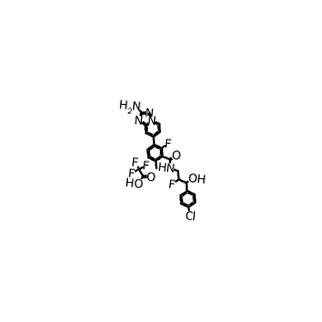 Cc1ccc(-c2ccn3nc(N)nc3c2)c(F)c1C(=O)NCC(F)C(O)c1ccc(Cl)cc1.O=C(O)C(F)(F)F